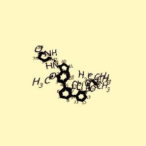 COc1cc(-c2cccc(-c3cccc(B4OC(C)(C)C(C)(C)O4)c3Cl)c2Cl)cc2c1C(NC[C@@H]1CCC(=O)N1)CC2